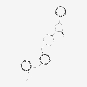 COc1ccccc1Oc1cccc(CN2CCC(N3CC(c4ccccc4)OC3=O)CC2)c1